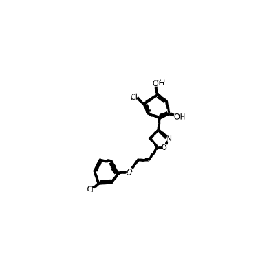 Oc1cc(O)c(C2=NOC(CCOc3cccc(Cl)c3)C2)cc1Cl